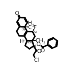 C[C@]12C=CC(=O)C=C1CCC1=C2[C@@H](F)C[C@@]2(C)[C@H]1CC[C@]2(OC(=O)c1ccccc1)C(=O)CCl